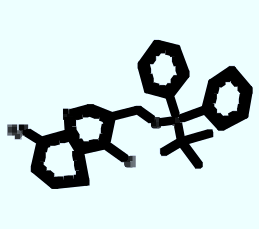 CC(C)(C)[Si](OCc1cnc2c(N)cccc2c1Cl)(c1ccccc1)c1ccccc1